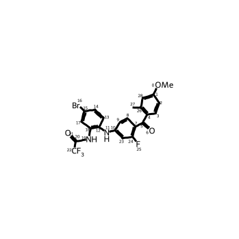 COc1ccc(C(=O)c2ccc(Nc3ccc(Br)cc3NC(=O)C(F)(F)F)cc2F)c(C)c1